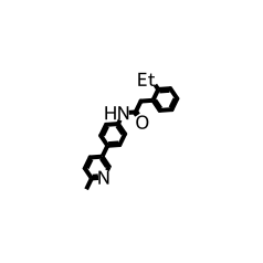 CCc1ccccc1CC(=O)Nc1ccc(-c2ccc(C)nc2)cc1